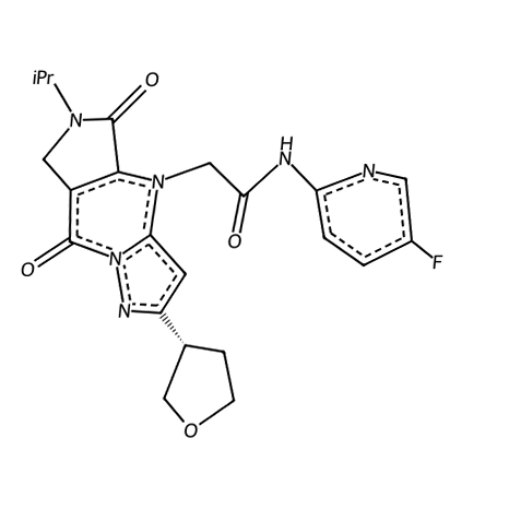 CC(C)N1Cc2c(n(CC(=O)Nc3ccc(F)cn3)c3cc([C@@H]4CCOC4)nn3c2=O)C1=O